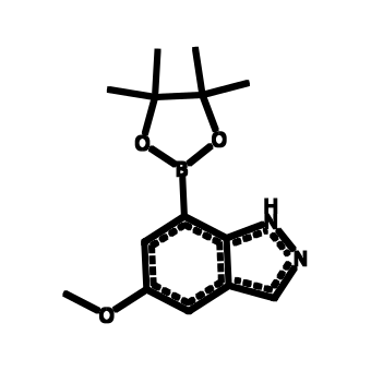 COc1cc(B2OC(C)(C)C(C)(C)O2)c2[nH]ncc2c1